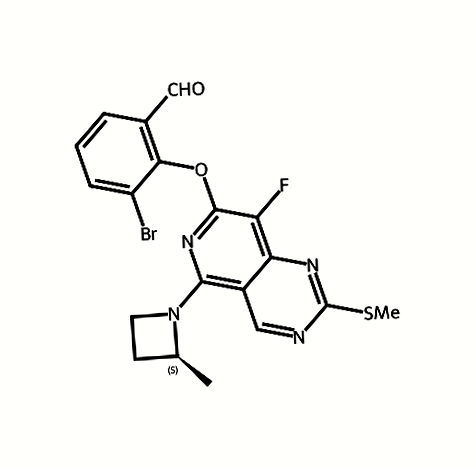 CSc1ncc2c(N3CC[C@@H]3C)nc(Oc3c(Br)cccc3C=O)c(F)c2n1